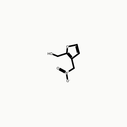 O=[N+]([O-])Cc1ccoc1CO